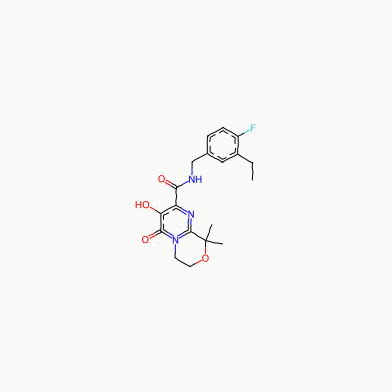 CCc1cc(CNC(=O)c2nc3n(c(=O)c2O)CCOC3(C)C)ccc1F